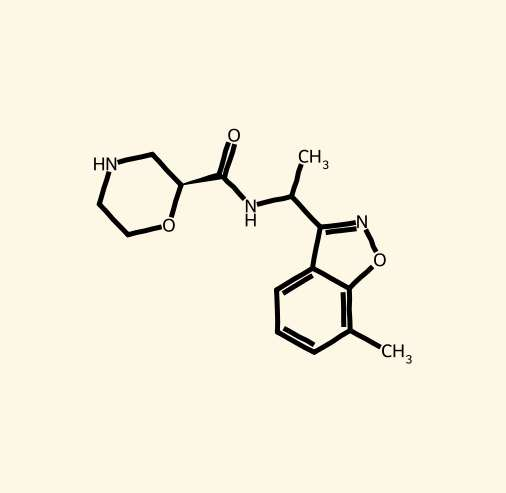 Cc1cccc2c(C(C)NC(=O)[C@@H]3CNCCO3)noc12